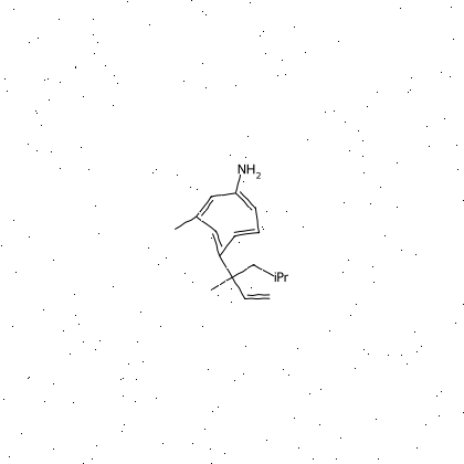 C=CC(C)(CC(C)C)C1=C\C(C)=C/C(N)=C\C=C\1